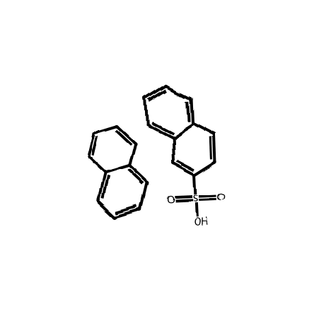 O=S(=O)(O)c1ccc2ccccc2c1.c1ccc2ccccc2c1